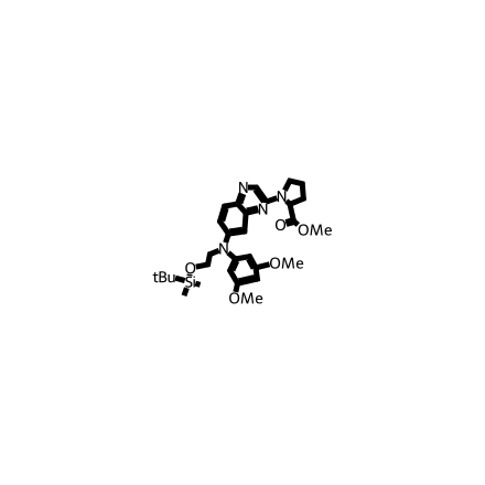 COC(=O)C1CCCN1c1cnc2ccc(N(CCO[Si](C)(C)C(C)(C)C)c3cc(OC)cc(OC)c3)cc2n1